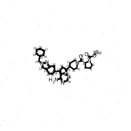 CC(C)(C)OC(=O)N1CCC[C@H]1C(=O)N1CCC(c2cc(-c3ccc4cn(Cc5ccccc5)nc4c3)c3c(N)ncnn23)CC1